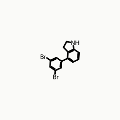 Brc1cc(Br)cc(-c2cccc3c2CCN3)c1